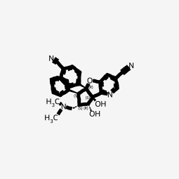 CN(C)C[C@H]1[C@@H](O)[C@@]2(O)c3ncc(C#N)cc3O[C@@]2(c2ccc(C#N)cc2)[C@@H]1c1ccccc1